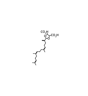 C=C(CCC=C(C)CCC=C(C)CCC=C(C)C)C1OC(C(=O)O)C(C(=O)O)O1